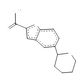 COC(=O)c1cc2cc(C3CCCCS3)ccc2s1